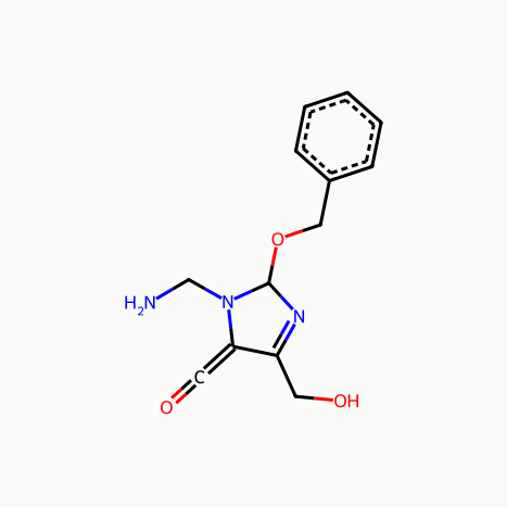 NCN1C(=C=O)C(CO)=NC1OCc1ccccc1